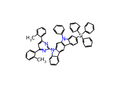 Cc1ccccc1-c1cc(-c2ccccc2C)nc(-n2c3ccccc3c3cc4c5ccc([Si](c6ccccc6)(c6ccccc6)c6ccccc6)cc5n(-c5ccccc5)c4cc32)n1